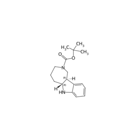 CC(C)(C)OC(=O)N1CCC[C@H]2Nc3ccccc3[C@@H]2C1